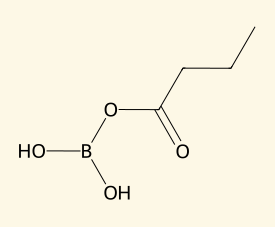 CCCC(=O)OB(O)O